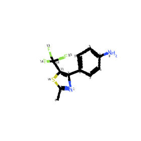 Cc1nc(-c2ccc(N)cc2)c(C(F)(F)F)s1